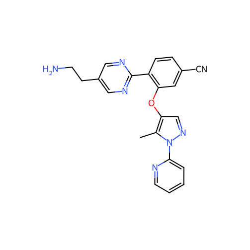 Cc1c(Oc2cc(C#N)ccc2-c2ncc(CCN)cn2)cnn1-c1ccccn1